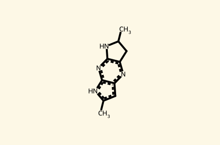 Cc1cc2nc3c(nc2[nH]1)NC(C)C3